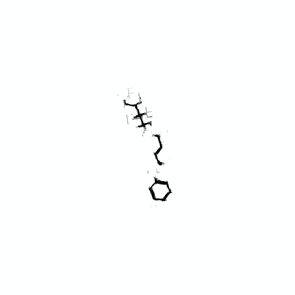 O=C(C=CC(=O)OC(F)(F)C(F)(F)C(F)CC(F)(F)F)Oc1ccccc1